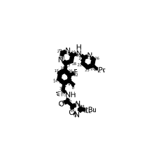 Cc1c([C@@H](C)NC(=O)c2nc(C(C)(C)C)no2)ccc(-c2cc(Nc3ccc(C(C)C)cn3)ncn2)c1F